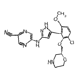 COc1ccc(Cl)c(OC[C@@H]2CNCCO2)c1-c1cc(Nc2cnc(C#N)cn2)n[nH]1